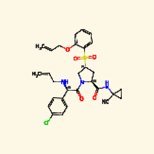 C=CCN[C@@H](C(=O)N1C[C@H](S(=O)(=O)c2ccccc2OCC=C)C[C@H]1C(=O)NC1(C#N)CC1)c1ccc(Cl)cc1